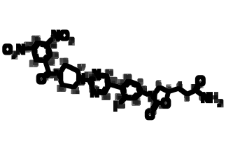 NC(=O)CCC1CN(c2ccc(-c3cnc(N4CCN(C(=O)c5cc([N+](=O)[O-])cc([N+](=O)[O-])c5)CC4)nc3)c(F)c2)C(=O)O1